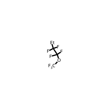 CCC(F)(F)C(F)(F)OC(F)(F)F